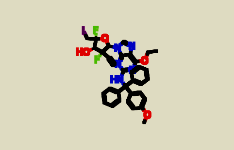 C#C[C@]1(F)[C@H](n2cnc3c(OCC)nc(NC(c4ccccc4)(c4ccccc4)c4ccc(OC)cc4)nc32)O[C@](F)(CI)[C@H]1O